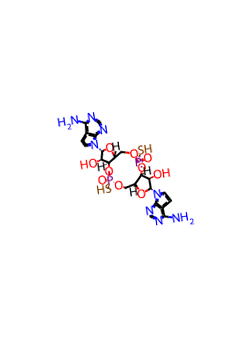 Nc1ncnc2c1ccn2[C@@H]1O[C@@H]2CO[P@@](=O)(S)O[C@H]3[C@@H](O)[C@H](n4ccc5c(N)ncnc54)O[C@@H]3COP(=O)(S)O[C@H]2[C@H]1O